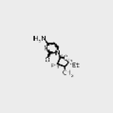 CC[C@H]1O[C@@H](n2ccc(N)nc2=O)[C@@H](F)C1C